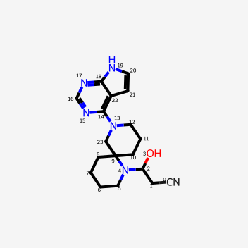 N#CCC(O)N1CCCCC12CCCN(c1ncnc3[nH]ccc13)C2